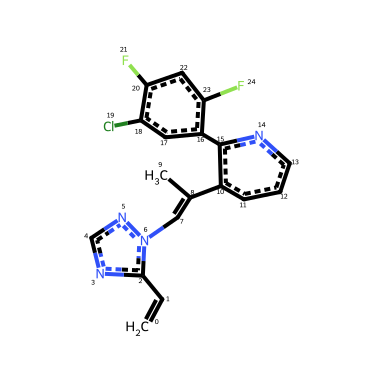 C=Cc1ncnn1/C=C(\C)c1cccnc1-c1cc(Cl)c(F)cc1F